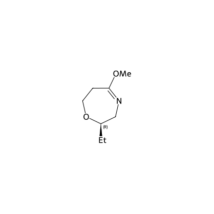 CC[C@@H]1CN=C(OC)CCO1